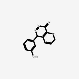 COc1cccc(C2N=NC(=O)C3=C2C=CCN3)c1